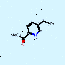 COC(=O)c1ccc(CC(C)C)cn1